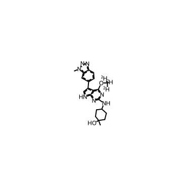 [2H]C([2H])([2H])Oc1nc(NC2CCC(C)(O)CC2)nc2[nH]cc(-c3ccc4nnn(C)c4c3)c12